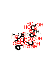 CC1OC(CO)C(O)C(O)C1OC1OC(CO)C(OC2OC(COC3(C(=O)OCc4ccccc4)CC(O)C(C)C(C(O)C(O)CO)O3)C(O)C(O)C2O)C(O)C1C